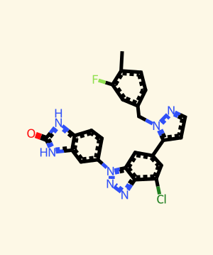 Cc1ccc(Cn2nccc2-c2cc(Cl)c3nnn(-c4ccc5[nH]c(=O)[nH]c5c4)c3c2)cc1F